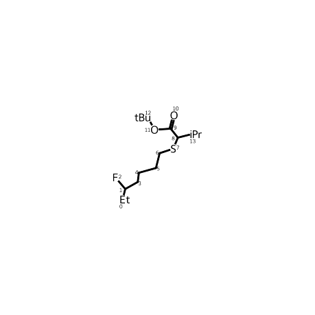 CCC(F)CCCCSC(C(=O)OC(C)(C)C)C(C)C